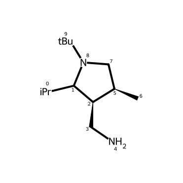 CC(C)C1[C@H](CN)[C@H](C)CN1C(C)(C)C